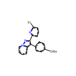 CCc1cccc(-c2nn3ccccc3c2-c2ccc(OC)cc2)n1